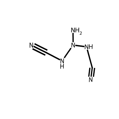 N#CNN(N)NC#N